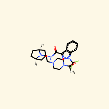 CC(=O)N1CCN(CCN2[C@@H]3CC[C@H]2C[C@@H](NC(=O)c2nn(C(F)F)c4ccccc24)C3)CC1